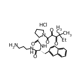 CCC(C)(C)C(=O)C(=O)C(=O)N1CCC[C@H]1C(=O)N[C@H](Cc1ccc2ccccc2c1)C(=O)NCCCN.Cl